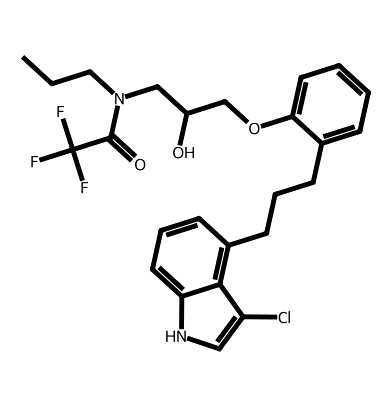 CCCN(CC(O)COc1ccccc1CCCc1cccc2[nH]cc(Cl)c12)C(=O)C(F)(F)F